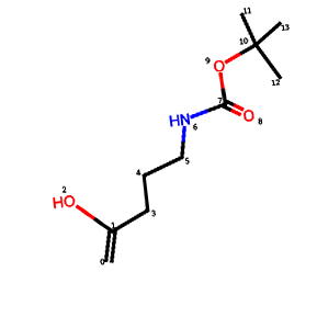 C=C(O)CCCNC(=O)OC(C)(C)C